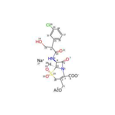 CC(=O)OCC1=C(C(=O)[O-])N2C(=O)[C@H](NC(=O)C(CO)c3cccc(Cl)c3)[C@@H]2S(=O)(=O)C1.[Na+]